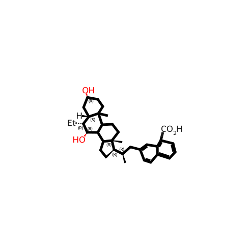 CC[C@H]1[C@@H](O)C2C(CC[C@@]3(C)C2CC[C@@H]3[C@H](C)Cc2ccc3cccc(C(=O)O)c3c2)C2(C)CC[C@@H](O)C[C@@H]12